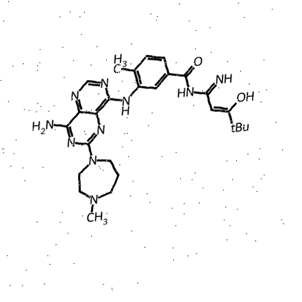 Cc1ccc(C(=O)NC(=N)/C=C(\O)C(C)(C)C)cc1Nc1ncnc2c(N)nc(N3CCCN(C)CC3)nc12